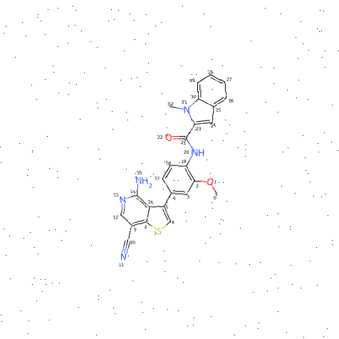 COc1cc(-c2csc3c(C#N)cnc(N)c23)ccc1NC(=O)c1cc2ccccc2n1C